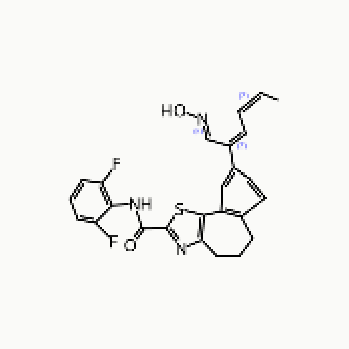 C\C=C/C=C(\C=N\O)c1ccc2c(c1)-c1sc(C(=O)Nc3c(F)cccc3F)nc1CCC2